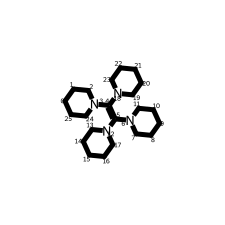 C1CCN(C(=C(N2CCCCC2)N2CCCCC2)N2CCCCC2)CC1